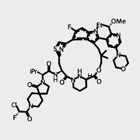 CCn1c(-c2cc(N3CCOCC3)cnc2[C@H](C)OC)c2c3cc(c(F)cc31)-c1csc(n1)C[C@H](NC(=O)[C@H](C(C)C)N1CCC3(CCN(C(=O)[C@H](F)Cl)CC3)C1=O)C(=O)N1CCC[C@H](N1)C(=O)OCC(C)(C)C2